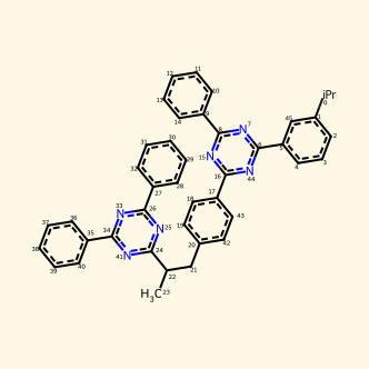 CC(C)c1cccc(-c2nc(-c3ccccc3)nc(-c3ccc(CC(C)c4nc(-c5ccccc5)nc(-c5ccccc5)n4)cc3)n2)c1